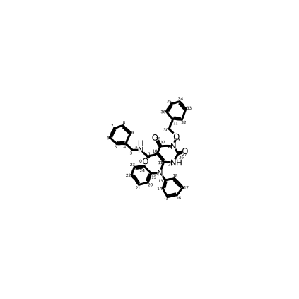 O=C(NCc1ccccc1)c1c(N(c2ccccc2)c2ccccc2)[nH]c(=O)n(OCc2ccccc2)c1=O